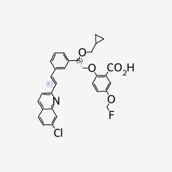 O=C(O)c1cc(OCF)ccc1OC[C@@H](OCC1CC1)c1cccc(/C=C/c2ccc3ccc(Cl)cc3n2)c1